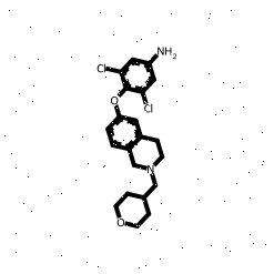 Nc1cc(Cl)c(Oc2ccc3c(c2)CCN(CC2CCOCC2)C3)c(Cl)c1